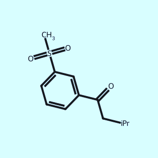 CC(C)CC(=O)c1cccc(S(C)(=O)=O)c1